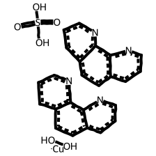 O=S(=O)(O)O.OO.[Cu].c1cnc2c(c1)ccc1cccnc12.c1cnc2c(c1)ccc1cccnc12